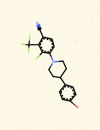 N#Cc1ccc(N2CCC(c3ccc(Br)cc3)CC2)c(F)c1C(F)(F)F